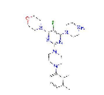 Cc1cccc(N2CCN(c3nc(N4CCNCC4)c(F)c(N4CCOCC4)n3)CC2)c1C